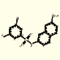 O=C(O)c1ccc2ccc(NS(=O)(=O)c3cc(Cl)cc(Cl)c3)cc2c1